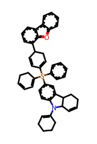 C1=CCCC(S(C2=CCC(c3cccc4c3oc3ccccc34)C=C2)(c2ccccc2)c2ccc3c(c2)C2CCC=CC2N3C2=CCCCC2)=C1